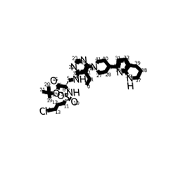 CCc1c(NC[C@H](NS(=O)(=O)CCCCl)C(=O)OC(C)(C)C)ncnc1N1CCC(c2ccc3c(n2)NCCC3)CC1